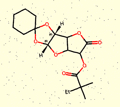 CCC(C)(C)C(=O)OC1C(=O)OC2C1O[C@@H]1OC3(CCCCC3)O[C@H]21